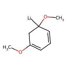 [Li][C]1(OC)C=CC=C(OC)C1